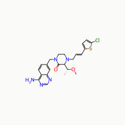 CO[C@H](C)C1C(=O)N(Cc2ccc3c(N)ncnc3c2)CCN1C/C=C/c1ccc(Cl)s1